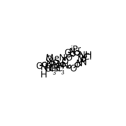 CNC(=O)COc1cc2cc(Nc3nc(N4CCC(O[C@H]5C[C@H](N6CCN(c7ccc8c(n7)C(C)N(C7CCC(=O)NC7O)C8=O)[C@@H](C)C6)C5)CC4)ncc3Cl)ccc2n(C(C)C)c1=O